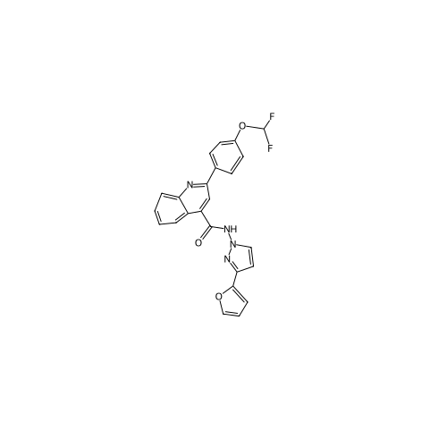 O=C(Nn1ccc(-c2ccco2)n1)c1cc(-c2ccc(OC(F)F)cc2)nc2ccccc12